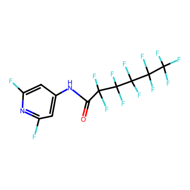 O=C(Nc1cc(F)nc(F)c1)C(F)(F)C(F)(F)C(F)(F)C(F)(F)C(F)(F)F